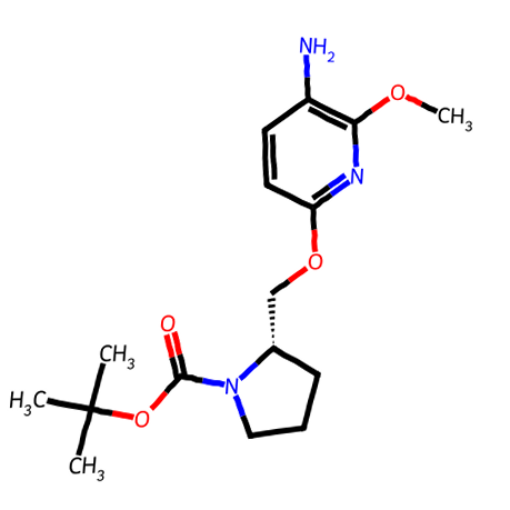 COc1nc(OC[C@@H]2CCCN2C(=O)OC(C)(C)C)ccc1N